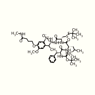 CNC(=O)CCCOc1cc([N+](=O)[O-])c(C(C)NNC(=O)[C@H](CSSC(C)(C)C)NC(=O)[C@H](CC(C)C)NC(=O)[C@H](Cc2ccccc2)NC(=O)OC(C)(C)C)cc1OC